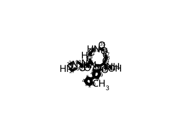 Cc1ccccc1-c1ccc(C[C@H]2C(=O)NC(C(=O)NC(=O)CN3CCNCC3)CCCCNC(=O)OCCCC2C(=O)NO)cc1